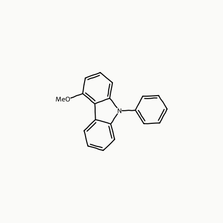 COc1cccc2c1c1ccccc1n2-c1ccccc1